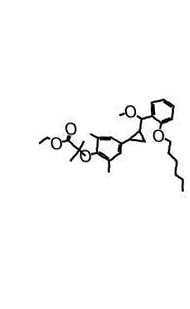 CCCCCCOc1ccccc1C(OC)C1CC1c1cc(C)c(OC(C)(C)C(=O)OCC)c(C)c1